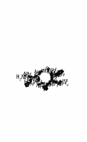 N=C(N)NCCC[C@H](NC(=O)CC1CCCC1)C(=O)N[C@H]1CC(=O)NCCCC[C@@H](C(N)=O)NC(=O)[C@H](Cc2c[nH]c3ccccc23)NC(=O)[C@H](CCCNC(=N)N)NC(=O)C(Cc2ccccc2)NC(=O)[C@H](CCN)NC1=O